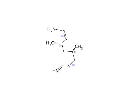 C[C@@H](/C=N\C=N)C[C@H](C)/N=N\N